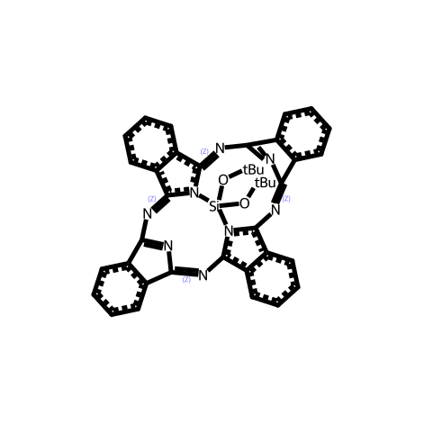 CC(C)(C)O[Si]1(OC(C)(C)C)n2c3c4ccccc4c2/N=C2N=C(/N=c4/c5ccccc5/c(n41)=N/C1=NC(=N\3)/c3ccccc31)c1ccccc1\2